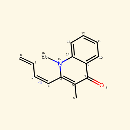 C=C/C=C\c1c(C)c(=O)c2ccccc2n1CC